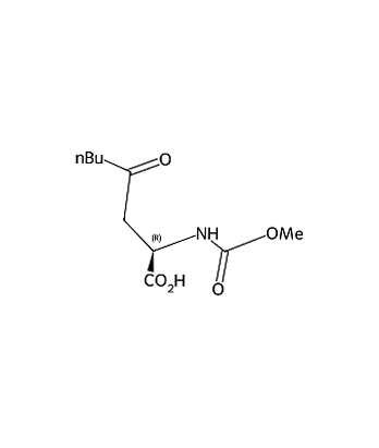 CCCCC(=O)C[C@@H](NC(=O)OC)C(=O)O